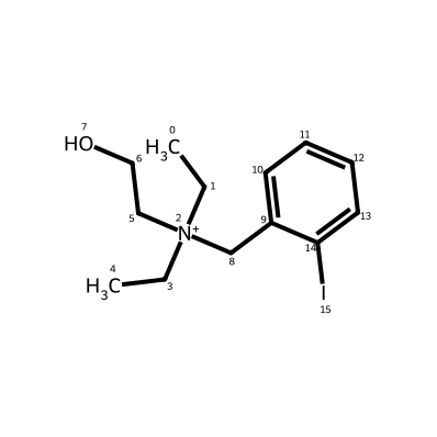 CC[N+](CC)(CCO)Cc1ccccc1I